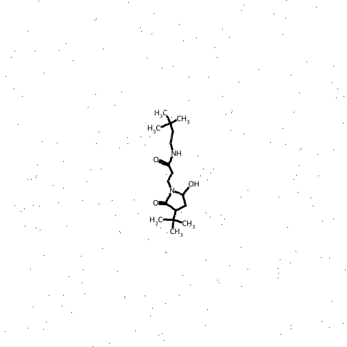 CC(C)(C)CCNC(=O)CCN1C(=O)C(C(C)(C)C)CC1O